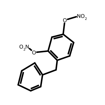 O=[N+]([O-])Oc1ccc(Cc2ccccc2)c(O[N+](=O)[O-])c1